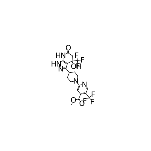 COC(=O)c1cc(N2CCC(c3n[nH]c4c3C(O)(C(F)(F)F)CC(=O)N4)CC2)ncc1C(F)(F)F